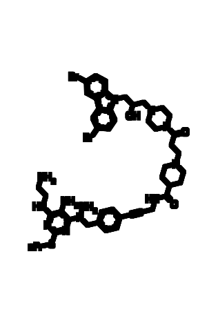 CCCSc1nc(NCCN)c(N)c(N(N)Cc2ccc(C#CCNC(=O)C3CCN(CCC(=O)N4CCN(CC(O)Cn5c6ccc(Br)cc6c6cc(Br)ccc65)CC4)CC3)cc2)n1